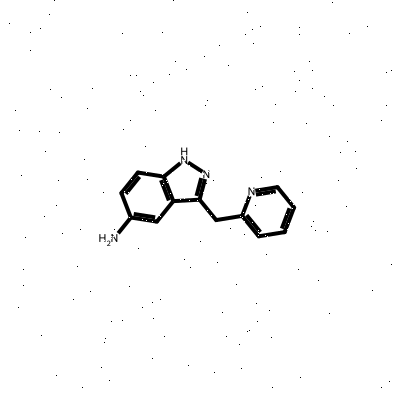 Nc1ccc2[nH]nc(Cc3ccccn3)c2c1